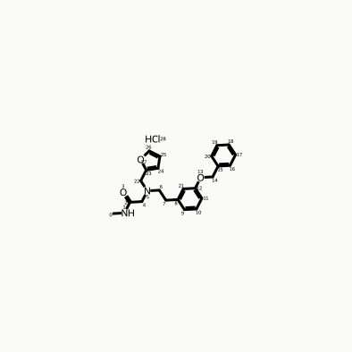 CNC(=O)CN(CCc1cccc(OCc2ccccc2)c1)Cc1ccco1.Cl